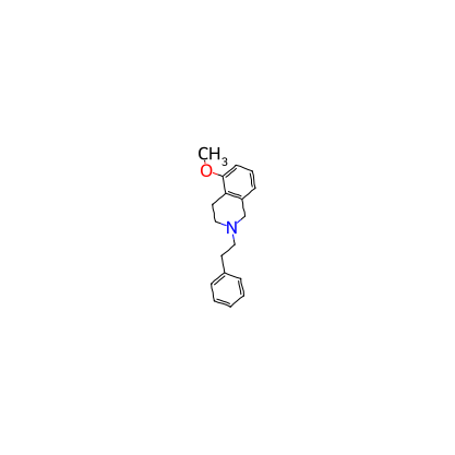 COc1cccc2c1CCN(CCc1ccccc1)C2